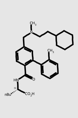 CCCC[C@H](NC(=O)c1ccc(CN(C)CCC2CCCCC2)cc1-c1ccccc1C)C(=O)O